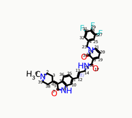 CN1CCC(=C2C(=O)Nc3cc(/C=C/CNC(=O)c4cccn(Cc5cc(F)c(F)c(F)c5)c4=O)ccc32)CC1